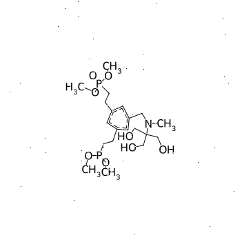 COP(CCc1cc(CCP(=O)(OC)OC)cc(CN(C)C(CO)(CO)CO)c1)OC